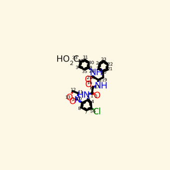 O=C(Nc1cc(Cl)ccc1N1CCOO1)C(=O)NC(Cc1ccccc1)C(=O)Nc1ccc(C(=O)O)cc1